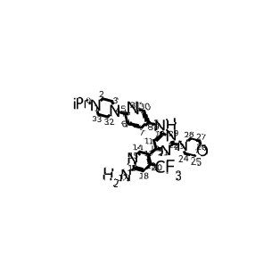 CC(C)N1CCN(c2ccc(Nc3cc(-c4cnc(N)cc4C(F)(F)F)nc(N4CCOCC4)n3)cn2)CC1